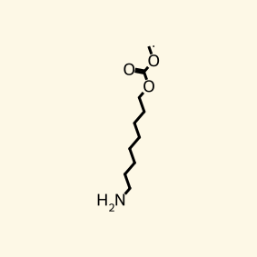 [CH2]OC(=O)OCCCCCCCCN